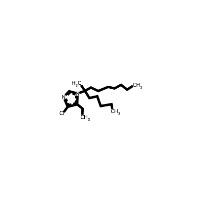 CCCCCCCC(C)(CCCCC)n1cnc(Cl)c1CC